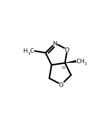 CC1=NO[C@]2(C)COCC12